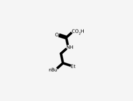 CCCCC(CC)CNC(=O)C(=O)O